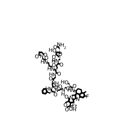 CC[C@@]1(O)C(=O)OCc2c1cc1n(c2=O)Cc2c-1nc1cc(F)c(C)c3c1c2[C@@H](NC(=O)[C@@H](CO)OCNC(=O)CNC(=O)[C@H](Cc1ccccc1)NC(=O)CNC(=O)CNC(=O)[C@H](CCC(=O)NC[C@H]1O[C@@H](CC(N)=O)[C@H](O)[C@@H]1O)NC(=O)CCNC(=O)CN1C(=O)C=CC1=O)CC3